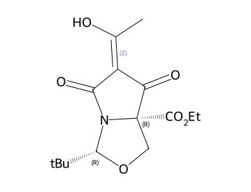 CCOC(=O)[C@]12CO[C@H](C(C)(C)C)N1C(=O)/C(=C(/C)O)C2=O